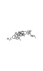 C[C@@H]1CC[C@@]2(OC1)O[C@H]1C[C@H]3[C@@H]4CC=C5C[C@@H](OS(=O)(=O)CCN)CC[C@]5(C)[C@H]4CC[C@]3(C)[C@H]1[C@@H]2C